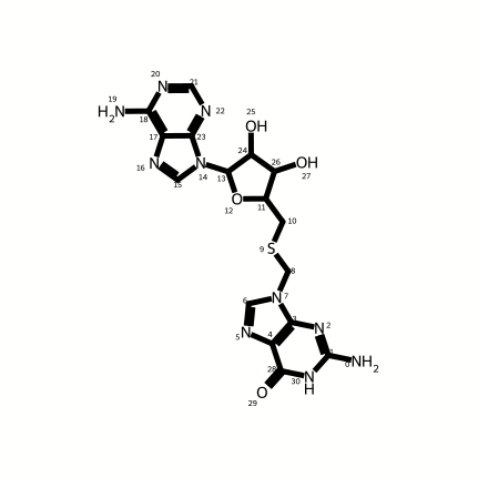 Nc1nc2c(ncn2CSCC2OC(n3cnc4c(N)ncnc43)C(O)C2O)c(=O)[nH]1